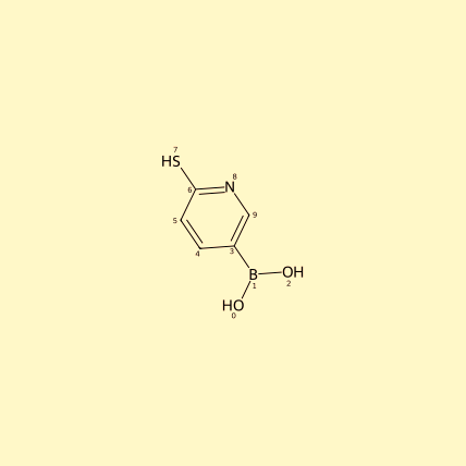 OB(O)c1ccc(S)nc1